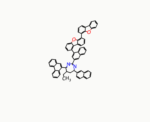 CCC1CC(c2ccc3ccccc3c2)N=C(c2cc(-c3cccc4oc5c(-c6cccc7c6oc6ccccc67)cccc5c34)c3ccccc3c2)N=C1c1cc2ccccc2c2ccccc12